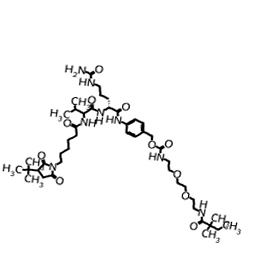 CCC(C)(C)C(=O)NCCOCCOCCNC(=O)OCc1ccc(NC(=O)[C@@H](CCCNC(N)=O)NC(=O)C(NC(=O)CCCCCN2C(=O)CC(C(C)(C)C)C2=O)C(C)C)cc1